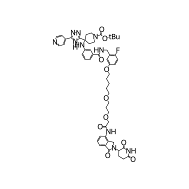 CC(C)(C)OC(=O)N1CCC(Nc2cccc(C(=O)NCc3cc(OCCCCCOCCCOCC(=O)Nc4cccc5c4CN(C4CCC(=O)NC4=O)C5=O)ccc3F)c2)(c2nnc(-c3ccncc3)[nH]2)CC1